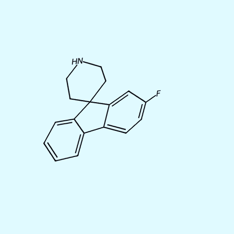 Fc1ccc2c(c1)C1(CCNCC1)c1ccccc1-2